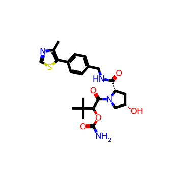 Cc1ncsc1-c1ccc(CNC(=O)[C@@H]2C[C@H](O)CN2C(=O)C(OC(N)=O)C(C)(C)C)cc1